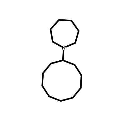 C1CCCCC(N2CCCCCC2)CCCC1